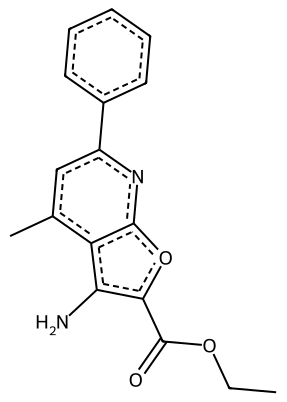 CCOC(=O)c1oc2nc(-c3ccccc3)cc(C)c2c1N